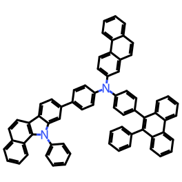 c1ccc(-c2c(-c3ccc(N(c4ccc(-c5ccc6c7ccc8ccccc8c7n(-c7ccccc7)c6c5)cc4)c4ccc5c(ccc6ccccc65)c4)cc3)c3ccccc3c3ccccc23)cc1